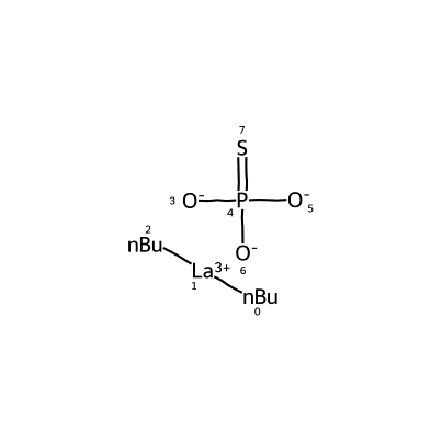 CCC[CH2][La+3][CH2]CCC.[O-]P([O-])([O-])=S